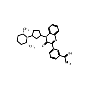 C[C@@H]1CCC[C@H](C)N1C1CCC(n2c(=O)c(-c3cccc(C(=N)N)c3)nc3ccccc32)C1